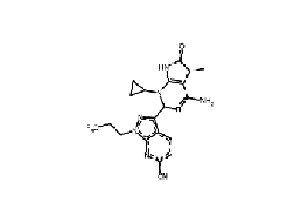 CC1C(=O)NC2=C1C(N)=NC(c1nn(CCC(F)(F)F)c3nc(C#N)ccc13)N2C1CC1